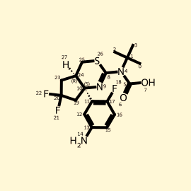 CC(C)(C)N(C(=O)O)C1=N[C@@]2(c3cc(N)ccc3F)CC(F)(F)C[C@H]2CS1